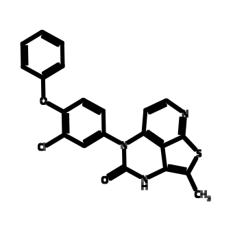 Cc1sc2nccc3c2c1NC(=O)N3c1ccc(Oc2ccccc2)c(Cl)c1